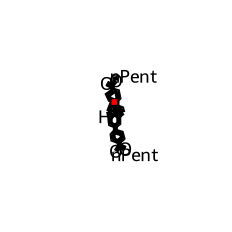 CCCCCOC(=O)c1ccc(C23CC4C5CC6(c7ccc(C(=O)OCCCCC)cc7)C[C@H]4C(C2)[C@H](C6)C5C3)cc1